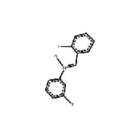 [O-][N+](=Cc1ccccc1F)c1cccc(F)c1